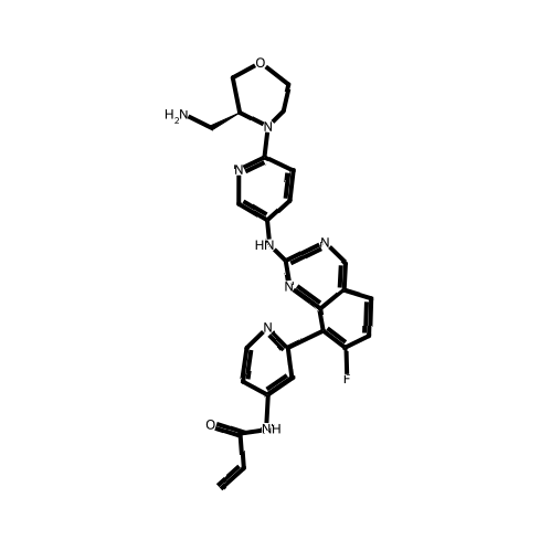 C=CC(=O)Nc1ccnc(-c2c(F)ccc3cnc(Nc4ccc(N5CCOC[C@@H]5CN)nc4)nc23)c1